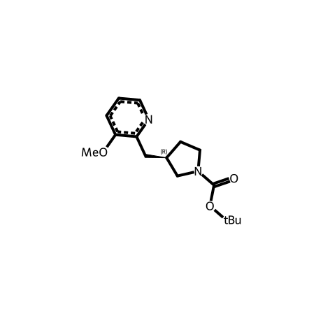 COc1cccnc1C[C@H]1CCN(C(=O)OC(C)(C)C)C1